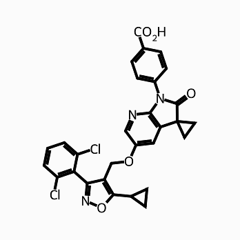 O=C(O)c1ccc(N2C(=O)C3(CC3)c3cc(OCc4c(-c5c(Cl)cccc5Cl)noc4C4CC4)cnc32)cc1